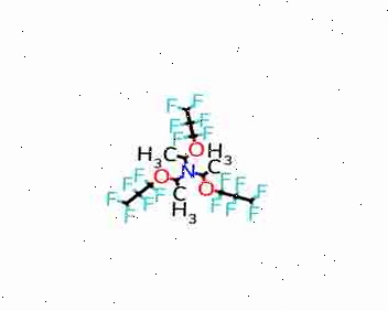 CC(OC(F)(F)C(F)(F)C(F)F)N(C(C)OC(F)(F)C(F)(F)C(F)F)C(C)OC(F)(F)C(F)(F)C(F)F